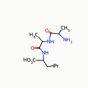 CC(C)CC(NC(=O)C(C)NC(=O)C(C)N)C(=O)O